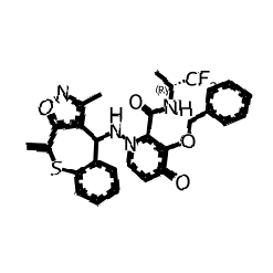 C=C1Sc2ccccc2C(Nn2ccc(=O)c(OCc3ccccc3)c2C(=O)N[C@H](C)C(F)(F)F)c2c(C)noc21